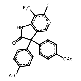 CC(=O)Oc1ccc(C2(c3ccc(OC(C)=O)cc3)C(=O)Nc3c2cnc(Cl)c3C(F)(F)F)cc1